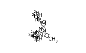 [2H]C([2H])([2H])c1nc2nc([C@@H]3CCO[C@H](c4cnn(C([2H])([2H])[2H])c4)C3)nc(-c3ccc(C)cc3)c2nc1C([2H])([2H])[2H]